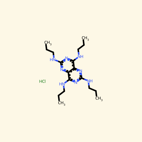 CCCNc1nc(NCCC)c2nc(NCCC)nc(NCCC)c2n1.Cl